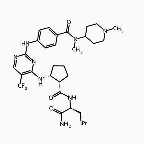 CC(C)C[C@H](NC(=O)[C@H]1CCC[C@H]1Nc1nc(Nc2ccc(C(=O)N(C)C3CCN(C)CC3)cc2)ncc1C(F)(F)F)C(N)=O